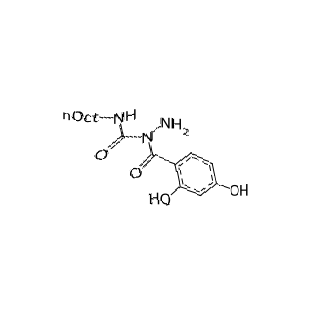 CCCCCCCCNC(=O)N(N)C(=O)c1ccc(O)cc1O